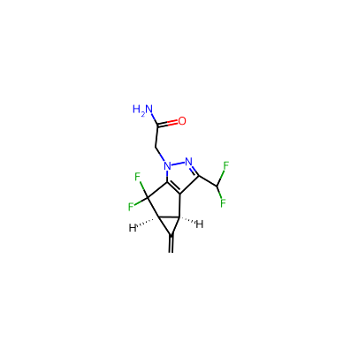 C=C1[C@@H]2c3c(C(F)F)nn(CC(N)=O)c3C(F)(F)[C@H]12